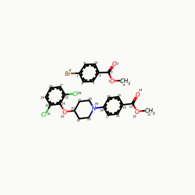 COC(=O)c1ccc(Br)cc1.COC(=O)c1ccc(N2CCC(Oc3c(Cl)cccc3Cl)CC2)cc1